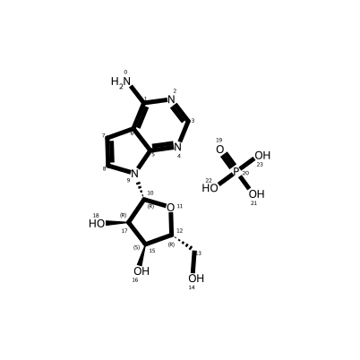 Nc1ncnc2c1ccn2[C@@H]1O[C@H](CO)[C@@H](O)[C@H]1O.O=P(O)(O)O